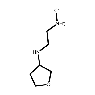 [CH2-][NH2+]CCNC1CCOC1